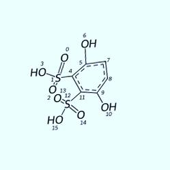 O=S(=O)(O)c1c(O)ccc(O)c1S(=O)(=O)O